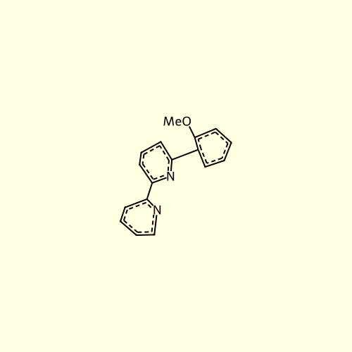 COc1ccccc1-c1cccc(-c2ccccn2)n1